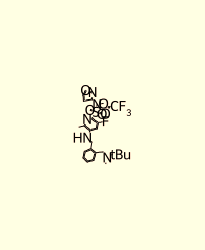 Cc1nc(S(=O)(=O)N(OC(=O)C(F)(F)F)c2ccon2)c(F)cc1NCc1ccccc1CN(C)C(C)(C)C